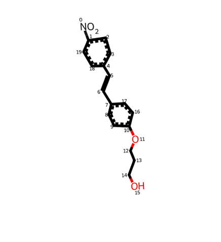 O=[N+]([O-])c1ccc(C=Cc2ccc(OCCCO)cc2)cc1